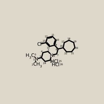 CN(C)C1CCN(CC(c2cccc(Cl)c2)C2CCCCCC2)CC1.Cl.Cl